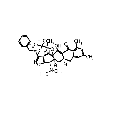 Cc1cc(C)c2c(c1)C[C@H]1C[C@H]3[C@H](N(C)C)c4onc(OCc5ccccc5)c4C(=O)[C@@]3(O[Si](C)(C)C(C)(C)C)C(O)=C1C2=O